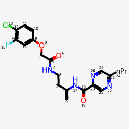 C=C(CCNC(=O)COc1ccc(Cl)c(F)c1)NC(=O)c1cnc(CCC)cn1